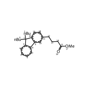 CCCCC1(CCCC)c2ccccc2-c2cc(CCCC(=O)OC)ccc21